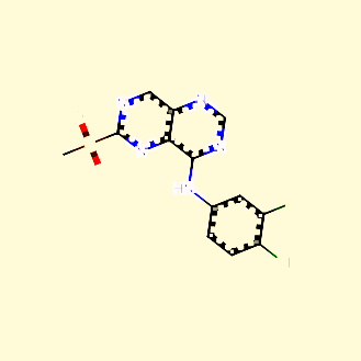 CS(=O)(=O)c1ncc2ncnc(Nc3ccc(Cl)c(Cl)c3)c2n1